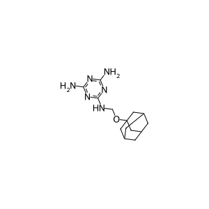 Nc1nc(N)nc(NCOC23CC4CC(CC(C4)C2)C3)n1